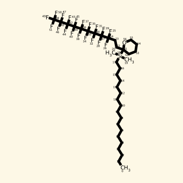 CCCCCCCCCCCCCCCCCC[Si](C)(C)C1(CCC(F)(F)C(F)(F)C(F)(F)C(F)(F)C(F)(F)C(F)(F)C(F)(F)C(F)(F)C(F)(F)F)CCCCO1